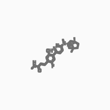 CNC(=O)/C=C/c1cc(O)c(-c2ccc(N(C)[C@@H]3C[C@]4(C)CC[C@](C)(C3)N4)nn2)cc1F